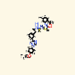 Cc1ccc(C(C)C)c(N2C(=O)CS/C2=N\C(=S)NC(C)Cc2cccc(-c3ncn(-c4ccc(OC(F)(F)F)cc4)n3)c2)c1